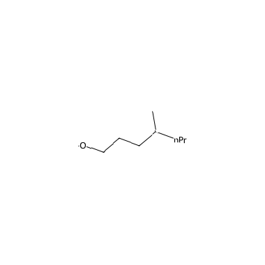 CCCC(C)CCC[O]